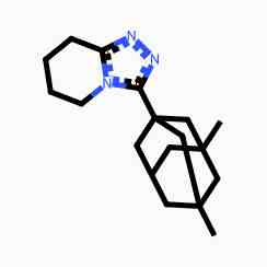 CC12CC3CC(C)(C1)CC(c1nnc4n1CCCC4)(C3)C2